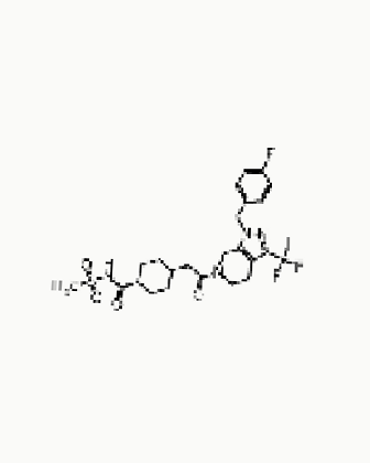 CS(=O)(=O)NC(=O)[C@H]1CC[C@@H](CC(=O)N2CCc3c(C(F)(F)F)nn(Cc4ccc(F)cc4)c3C2)CC1